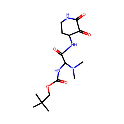 CN(C)C(NC(=O)OCC(C)(C)C)C(=O)NC1CCNC(=O)C1=O